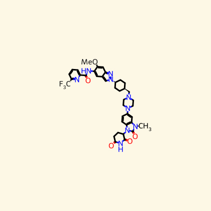 COc1cc2nn([C@H]3CC[C@H](CN4CCN(c5ccc6c(c5)n(C)c(=O)n6C5CCC(=O)NC5=O)CC4)CC3)cc2cc1NC(=O)c1cccc(C(F)(F)F)n1